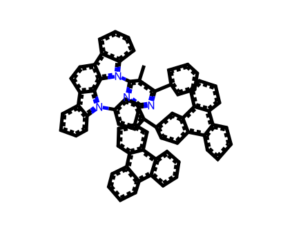 Cc1c(-c2ccccc2)nc(-c2ccc3c4ccccc4c4ccccc4c3c2)nc1-n1c2ccccc2c2ccc3c4ccccc4n(-c4ccc(-c5ccc6c7ccccc7c7ccccc7c6c5)cc4)c3c21